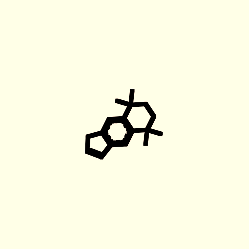 CC1(C)CCC(C)(C)c2cc3c(cc21)[C]=CC3